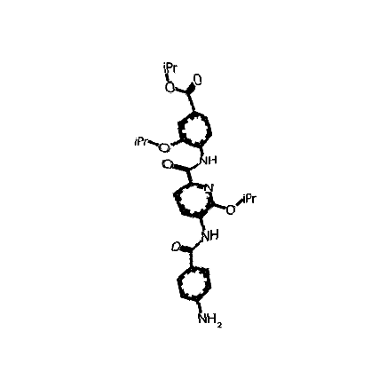 CC(C)OC(=O)c1ccc(NC(=O)c2ccc(NC(=O)c3ccc(N)cc3)c(OC(C)C)n2)c(OC(C)C)c1